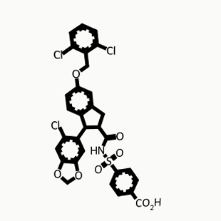 O=C(O)c1ccc(S(=O)(=O)NC(=O)C2Cc3cc(OCc4c(Cl)cccc4Cl)ccc3C2c2cc3c(cc2Cl)OCO3)cc1